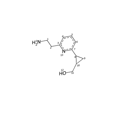 NCCc1cccc(C2CC2CO)n1